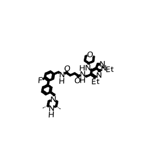 CCc1nc2c(cnn2CC)c(NC2CCOCC2)c1CNC(=O)CCC(=O)NCc1ccc(F)c(-c2cccc(CN3C[C@@H](C)N[C@@H](C)C3)c2)c1